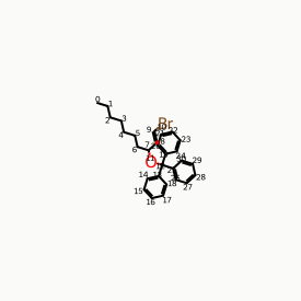 CCCCCCCC(C=CBr)OC(c1ccccc1)(c1ccccc1)c1ccccc1